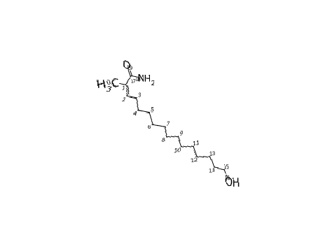 CC(=CCCCCCCCCCCCCCO)C(N)=O